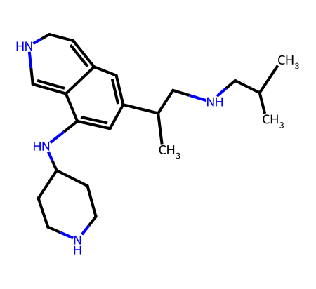 CC(C)CNCC(C)c1cc(NC2CCNCC2)c2c(c1)=CCNC=2